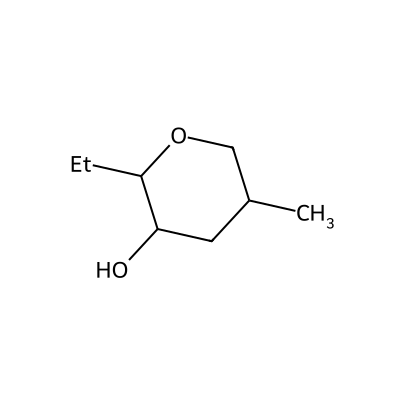 CCC1OCC(C)CC1O